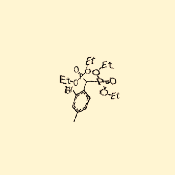 CCOP(=O)(OCC)C(c1ccc(C)cc1Br)P(=O)(OCC)OCC